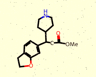 COC(=O)CC(c1ccc2c(c1)OCC2)C1CCNCC1